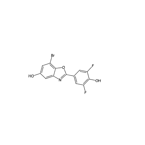 Oc1cc(Br)c2oc(-c3cc(F)c(O)c(F)c3)nc2c1